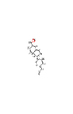 CCC[C@H]1CC[C@H](C2CCC3CC(C=O)CCC3C2)CC1